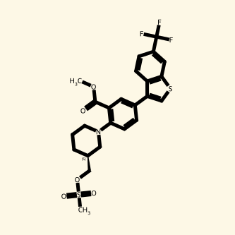 COC(=O)c1cc(-c2csc3cc(C(F)(F)F)ccc23)ccc1N1CCC[C@H](COS(C)(=O)=O)C1